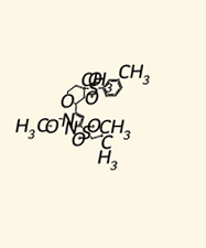 COCn1nc(S(=O)(=O)CC(C)C)cc1C1CC(C)(S(=O)(=O)c2cccc(C)c2)CCO1